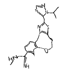 CNC(=N)c1ccc2c(c1)OCCc1sc(-c3ncnn3C(C)C)nc1-2